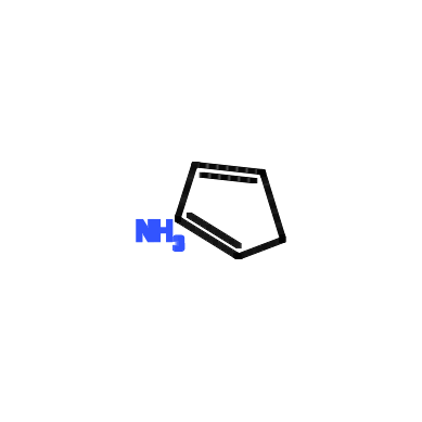 C1=CCC=C1.N